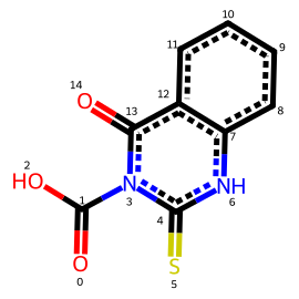 O=C(O)n1c(=S)[nH]c2ccccc2c1=O